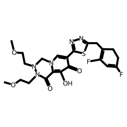 COCCN1Cn2cc(-c3nnc(CC4=C(F)C=C(F)CC4)s3)c(=O)c(O)c2C(=O)N1CCOC